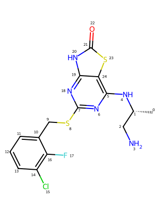 C[C@H](CN)Nc1nc(SCc2cccc(Cl)c2F)nc2[nH]c(=O)sc12